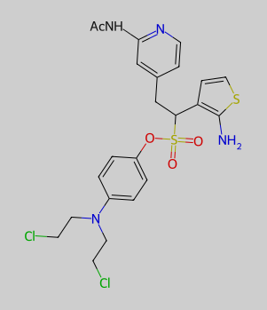 CC(=O)Nc1cc(CC(c2ccsc2N)S(=O)(=O)Oc2ccc(N(CCCl)CCCl)cc2)ccn1